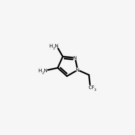 Nc1cn(CC(F)(F)F)nc1N